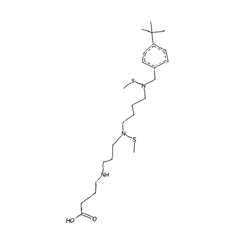 CSN(CCCCN(Cc1ccc(C(C)(C)C)cc1)SC)CCCNCCCC(=O)O